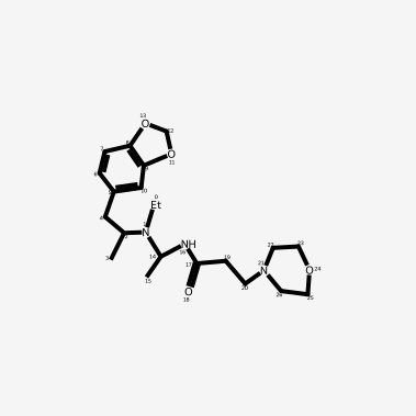 CCN(C(C)Cc1ccc2c(c1)OCO2)C(C)NC(=O)CCN1CCOCC1